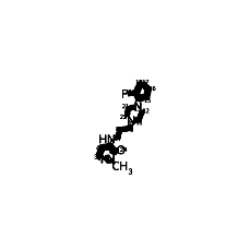 Cn1nccc(NCCCN2CCN(c3ccccc3F)CC2)c1=O